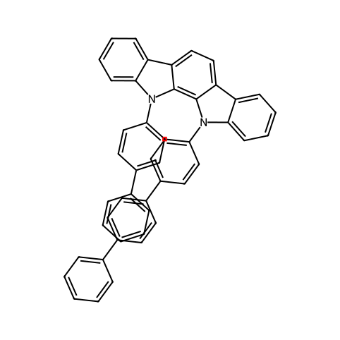 c1ccc(-c2ccc(-c3ccc(-n4c5ccccc5c5ccc6c7ccccc7n(-c7ccc(-c8ccccc8)cc7)c6c54)cc3)cc2)cc1